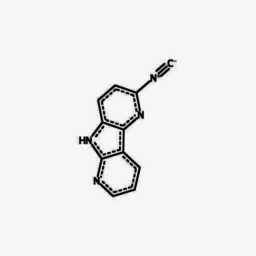 [C-]#[N+]c1ccc2[nH]c3ncccc3c2n1